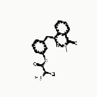 CC(Cl)C(=O)Oc1cccc(Cc2n[nH]c(=O)c3ccccc23)c1